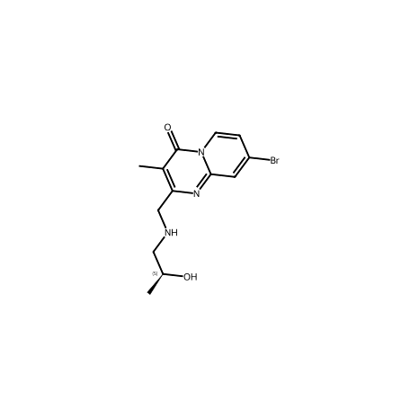 Cc1c(CNC[C@H](C)O)nc2cc(Br)ccn2c1=O